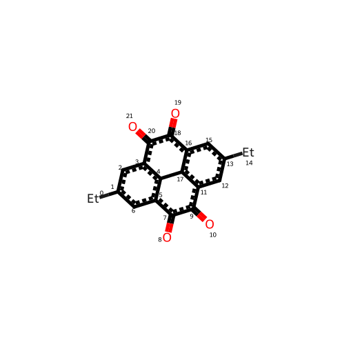 CCc1cc2c3c(c1)c(=O)c(=O)c1cc(CC)cc(c1-3)c(=O)c2=O